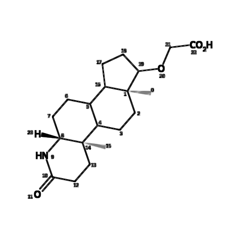 C[C@]12CCC3C(CC[C@H]4NC(=O)CC[C@]34C)C1CCC2OCC(=O)O